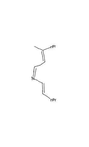 CCC/C=C/N=C\C=C(/C)CCC